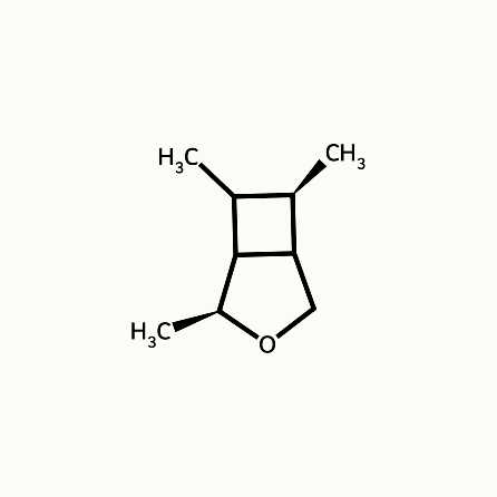 CC1C2C(CO[C@H]2C)[C@@H]1C